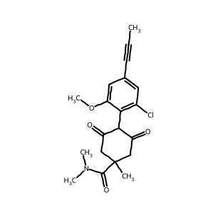 CC#Cc1cc(Cl)c(C2C(=O)CC(C)(C(=O)N(C)C)CC2=O)c(OC)c1